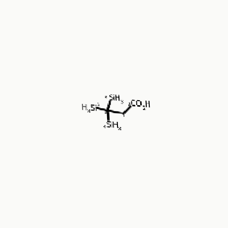 O=C(O)CC([SiH3])([SiH3])[SiH3]